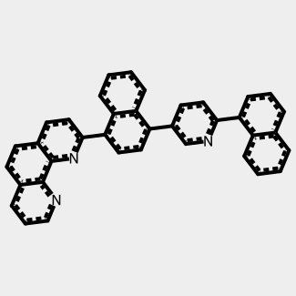 c1ccc2c(-c3ccc(-c4ccc(-c5ccc6ccc7cccnc7c6n5)c5ccccc45)cn3)cccc2c1